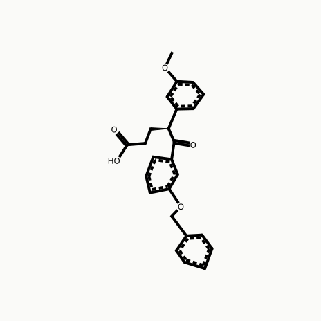 COc1cccc([C@H](CCC(=O)O)C(=O)c2cccc(OCc3ccccc3)c2)c1